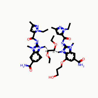 CCO[C@H](Cn1/c(=N/C(=O)c2cc(C)nn2CC)n(C)c2cc(C(N)=O)ccc21)[C@@H](Cn1/c(=N/C(=O)c2cc(C)nn2CC)n(C)c2cc(C(N)=O)cc(OCCCO)c21)OCC